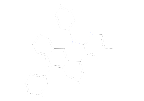 Cc1ccc(N(c2ccccc2)c2c3ccccc3c(-c3ccccc3)c3ccccc23)nc1